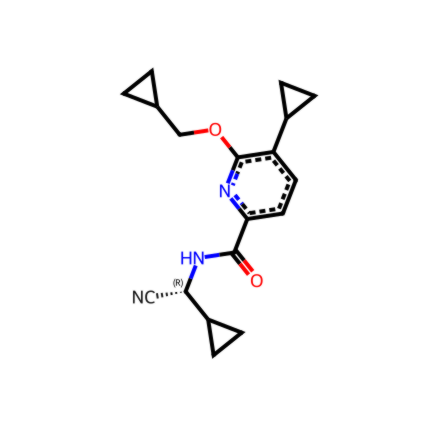 N#C[C@H](NC(=O)c1ccc(C2CC2)c(OCC2CC2)n1)C1CC1